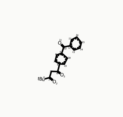 CC(C)(C)C(=O)CC(=O)c1ccc(C(=O)c2ccccc2)cc1